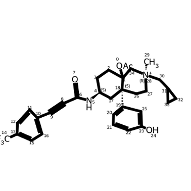 CC(=O)OC12CC[C@H](NC(=O)C#Cc3ccc(C(F)(F)F)cc3)C[C@]1(c1cccc(O)c1)CC[N@+](C)(CC1CC1)C2